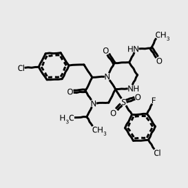 CC(=O)NC1CNC2(S(=O)(=O)c3ccc(Cl)cc3F)CN(C(C)C)C(=O)C(Cc3ccc(Cl)cc3)N2C1=O